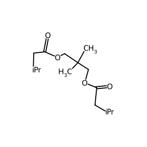 CC(C)CC(=O)OCC(C)(C)COC(=O)CC(C)C